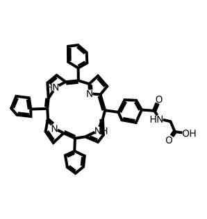 O=C(O)CNC(=O)c1ccc(-c2c3nc(c(-c4ccccc4)c4ccc([nH]4)c(-c4ccccc4)c4nc(c(-c5ccccc5)c5ccc2[nH]5)C=C4)C=C3)cc1